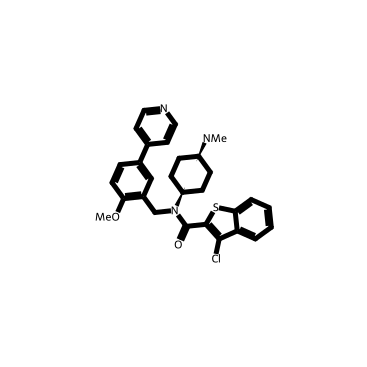 CN[C@H]1CC[C@@H](N(Cc2cc(-c3ccncc3)ccc2OC)C(=O)c2sc3ccccc3c2Cl)CC1